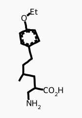 CCOc1ccc(CCC(C)CC(CN)C(=O)O)cc1